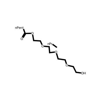 CCCC.CCCCCC(=O)OCCOCCOCCOCCO